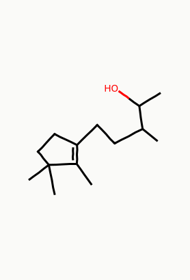 CC1=C(CCC(C)C(C)O)CCC1(C)C